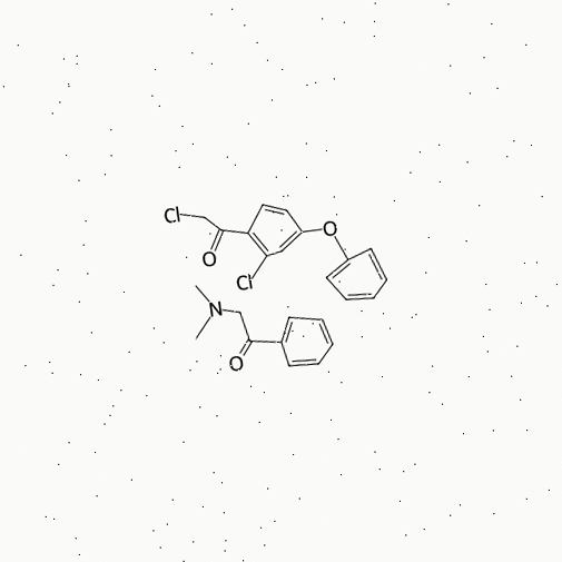 CN(C)CC(=O)c1ccccc1.O=C(CCl)c1ccc(Oc2ccccc2)cc1Cl